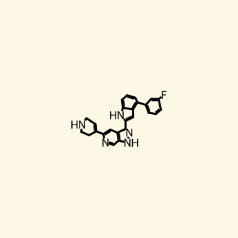 Fc1cccc(-c2cccc3[nH]c(-c4n[nH]c5cnc(C6=CCNCC6)cc45)cc23)c1